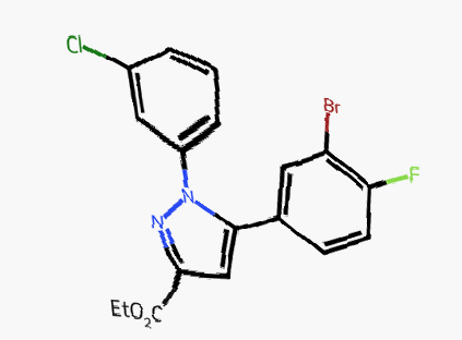 CCOC(=O)c1cc(-c2ccc(F)c(Br)c2)n(-c2cccc(Cl)c2)n1